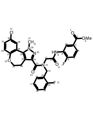 COC(=O)c1ccc(F)c(NC(=O)CN(Cc2ccccc2F)C(=O)c2nn(C)c3c2CCOc2ccc(Cl)cc2-3)c1